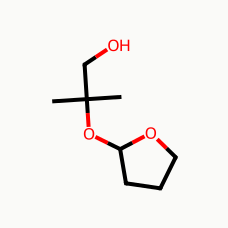 CC(C)(CO)OC1CCCO1